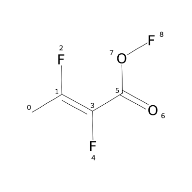 CC(F)=C(F)C(=O)OF